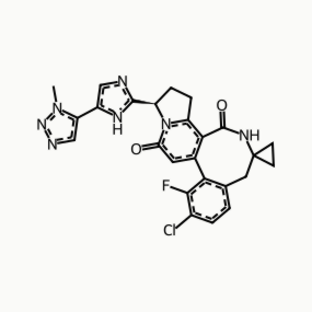 Cn1nncc1-c1cnc([C@H]2CCc3c4c(cc(=O)n32)-c2c(ccc(Cl)c2F)CC2(CC2)NC4=O)[nH]1